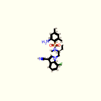 CC[C@@H](Cn1cc(C#N)c2cccc(F)c21)N(C)S(=O)(=O)c1c(C)cc(C)cc1N